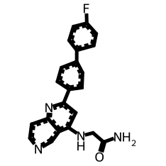 NC(=O)CNc1cc(-c2ccc(-c3ccc(F)cc3)cc2)nc2ccncc12